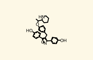 CC(Oc1ccc(Cc2c(-c3ccc(O)cc3)noc2-c2ccc(O)cc2)cc1)C1CCCCN1